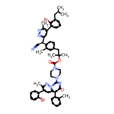 Cc1ccccc1-c1c(=O)nc(N2CCN(C(=O)OC(C)(C)Cc3ccc(C(C#N)c4cc(-c5cccc(CC(C)C)c5Br)c(C)nn4)c(C)c3)CC2)n2nc(C)c(-c3ccccc3Br)cc12